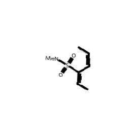 C/C=C\C(=C/C)S(=O)(=O)NC